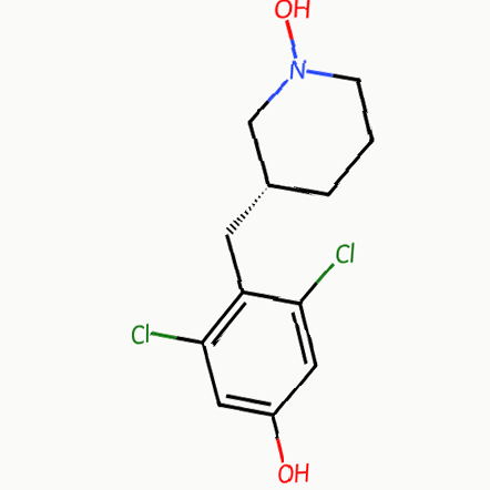 Oc1cc(Cl)c(C[C@H]2CCCN(O)C2)c(Cl)c1